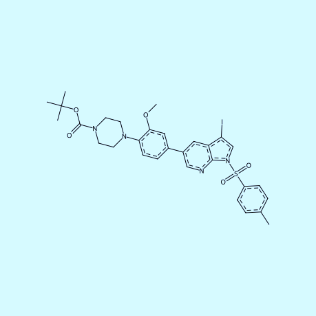 COc1cc(-c2cnc3c(c2)c(I)cn3S(=O)(=O)c2ccc(C)cc2)ccc1N1CCN(C(=O)OC(C)(C)C)CC1